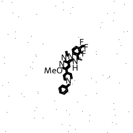 COc1nc2nc(C)nc(N[C@H](C)c3cccc(C(F)F)c3F)c2cc1C1CCN(Cc2ccccc2)CC1